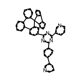 c1cncc(-c2ccc(-c3nc(-c4cccnc4)nc(-c4ccc5c(c4)C4(c6ccccc6-c6ccccc6-5)c5ccccc5-c5ccccc54)n3)cc2)c1